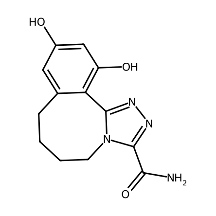 NC(=O)c1nnc2n1CCCCc1cc(O)cc(O)c1-2